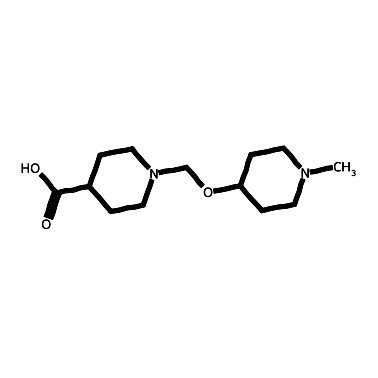 CN1CCC(OCN2CCC(C(=O)O)CC2)CC1